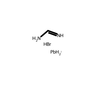 Br.N=CN.[PbH2]